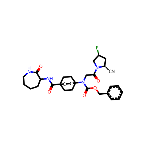 N#C[C@@H]1C[C@H](F)CN1C(=O)CN(C(=O)OCc1ccccc1)C12CCC(C(=O)NC3CCCCNC3=O)(CC1)CC2